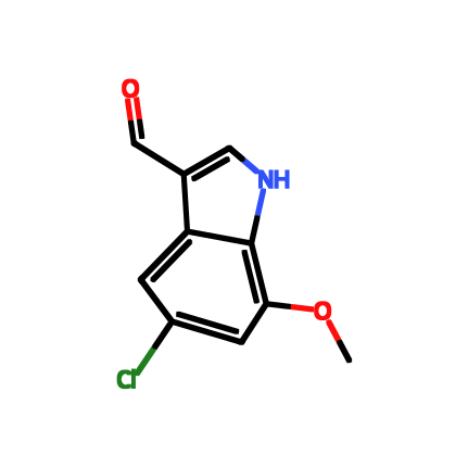 COc1cc(Cl)cc2c(C=O)c[nH]c12